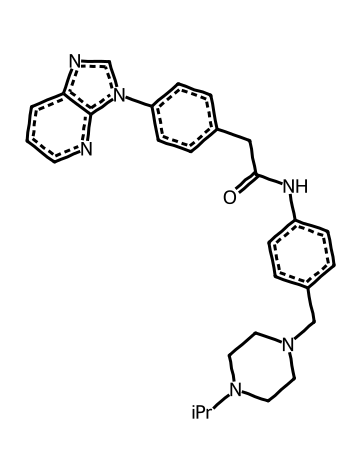 CC(C)N1CCN(Cc2ccc(NC(=O)Cc3ccc(-n4cnc5cccnc54)cc3)cc2)CC1